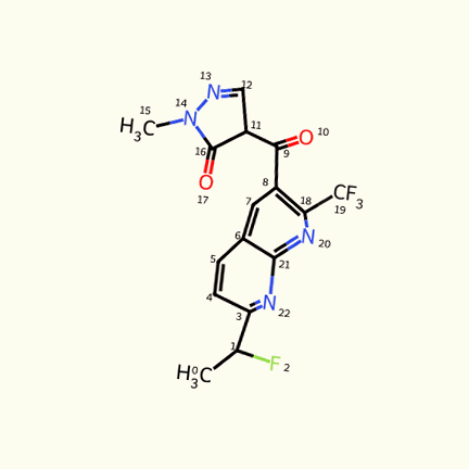 CC(F)c1ccc2cc(C(=O)C3C=NN(C)C3=O)c(C(F)(F)F)nc2n1